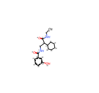 N#CCNC(=O)C(CNC(=O)c1cccc(O)c1)C1CCCCC1